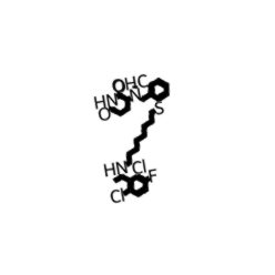 CC(NCCCCCCCCSc1cccc(C=O)c1CN(C)C1CCC(=O)NC1=O)c1c(Cl)ccc(F)c1Cl